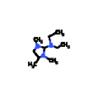 CCN(CC)C1N(C)CC(C)N1C